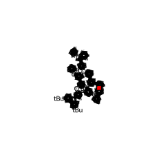 CC(C)(C)c1ccc2c(c1)c1cc(C(C)(C)C)ccc1n2-c1ccc2c(c1)Oc1cc(-c3cc4c5c(c3)Oc3ccc(-c6cn(-c7ccccc7)c7ccccc67)cc3B5c3ccccc3O4)cc3c1B2c1ccc(-n2c4ccccc4c4ccccc42)cc1N3c1cc(-c2ccccc2)cc(-c2ccccc2)c1